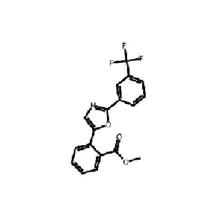 COC(=O)c1ccccc1-c1cnc(-c2cccc(C(F)(F)F)c2)o1